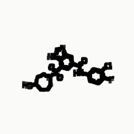 O=C(Nc1ccc(F)c(Cl)c1)c1cc(S(=O)(=O)N2CCCC(O)CC2)c2[nH]cnc2c1